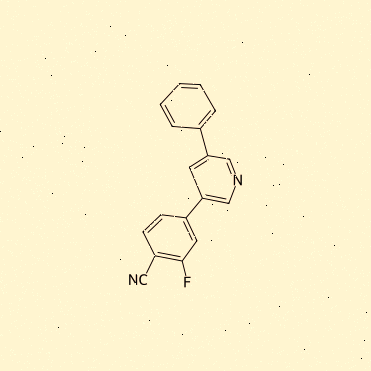 N#Cc1ccc(-c2cncc(-c3ccccc3)c2)cc1F